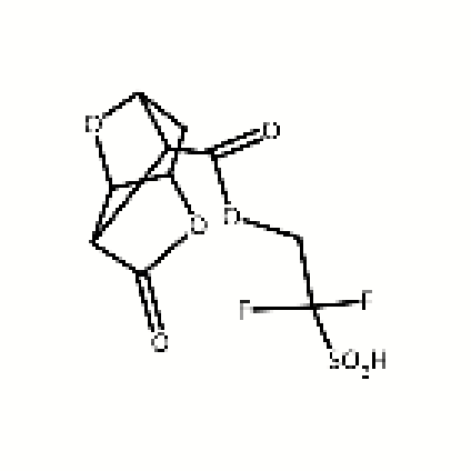 O=C(OCC(F)(F)S(=O)(=O)O)C1C2CC3OC(=O)C1C3O2